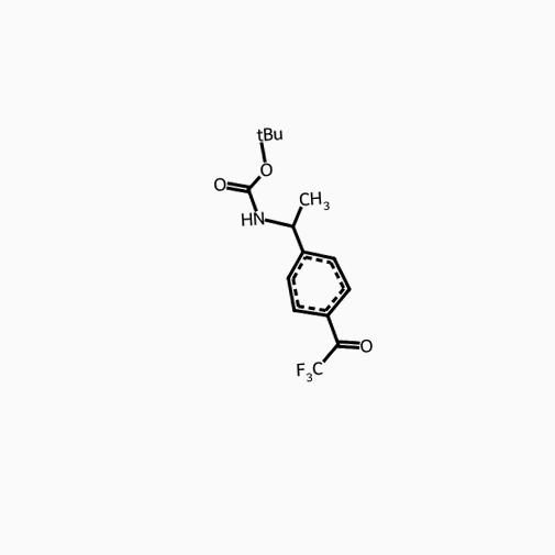 CC(NC(=O)OC(C)(C)C)c1ccc(C(=O)C(F)(F)F)cc1